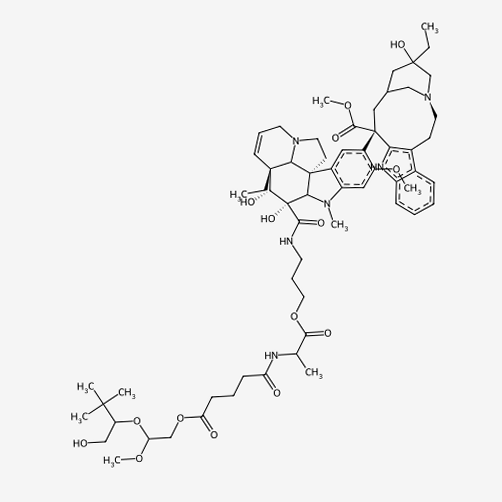 CCC1(O)CC2C[N@](CCc3c([nH]c4ccccc34)[C@@](C(=O)OC)(c3cc4c(cc3OC)N(C)C3[C@]45CCN4CC=C[C@](CC)(C45)[C@@H](O)[C@]3(O)C(=O)NCCCOC(=O)C(C)NC(=O)CCCC(=O)OCC(OC)OC(CO)C(C)(C)C)C2)C1